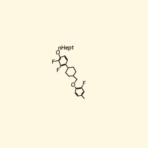 CCCCCCCOc1ccc(C2CCC(COc3ccc(C)cc3F)CC2)c(F)c1F